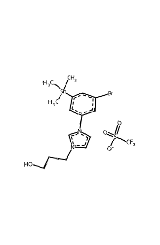 O=S(=O)([O-])C(F)(F)F.[CH3][Sn]([CH3])([CH3])[c]1cc(Br)cc(-n2cc[n+](CCCO)c2)c1